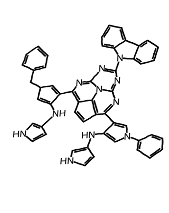 C1=C(Nc2cc[nH]c2)C(c2nc3nc(-n4c5ccccc5c5ccccc54)nc4nc(-c5cn(-c6ccccc6)cc5Nc5cc[nH]c5)c5ccc2c5n34)=CC1Cc1ccccc1